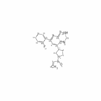 C=CC(=O)N1CCC(c2cc(C3=CCCC=C3F)cc3c2=NCNC=3)C1